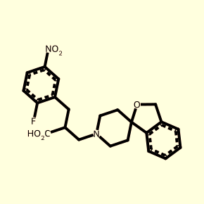 O=C(O)C(Cc1cc([N+](=O)[O-])ccc1F)CN1CCC2(CC1)OCc1ccccc12